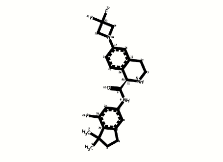 CC1(C)CCc2cc(NC(=O)[C@@H]3NCCc4cc(N5CC(F)(F)C5)ccc43)cc(F)c21